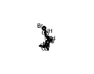 CCOC(=O)c1nc2cc(-c3nc(COC(=O)Nc4ccc(Br)cc4)c[nH]3)c([N+](=O)[O-])cc2nc1OCC